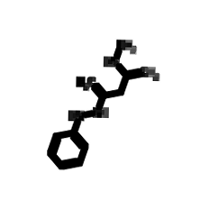 C=C(CC(=C)NNc1ccccc1)NN